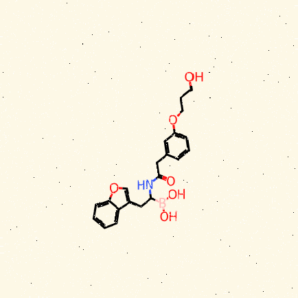 O=C(Cc1cccc(OCCCO)c1)NC(Cc1coc2ccccc12)B(O)O